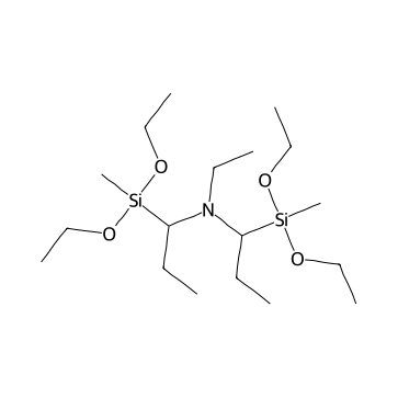 CCO[Si](C)(OCC)C(CC)N(CC)C(CC)[Si](C)(OCC)OCC